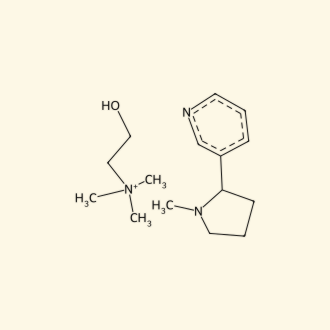 CN1CCCC1c1cccnc1.C[N+](C)(C)CCO